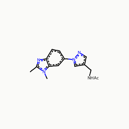 CC(=O)NCc1cnn(-c2ccc3nc(C)n(C)c3c2)c1